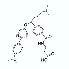 C=C(C)c1ccc(-c2ccc(OC(CCCC(C)C)c3ccc(C(=O)NCCC(=O)O)cc3)cn2)cc1